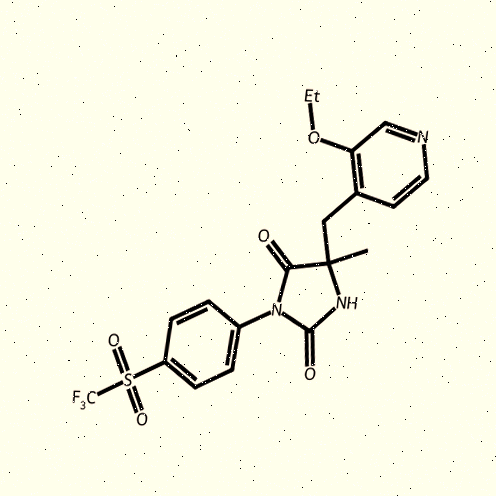 CCOc1cnccc1CC1(C)NC(=O)N(c2ccc(S(=O)(=O)C(F)(F)F)cc2)C1=O